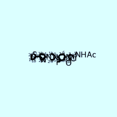 CC(=O)NC[C@H]1CN(c2ccc(N3CCN(c4ccc(-c5cccs5)cn4)CC3)c(F)c2)C(=O)O1